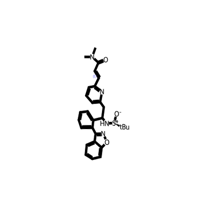 CN(C)C(=O)/C=C/c1cccc(CC(N[S@@+]([O-])C(C)(C)C)c2ccccc2-c2noc3ccccc23)n1